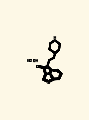 Cl.Cl.O=c1c2cnc3cccc(n1CCC1CCNCC1)n32